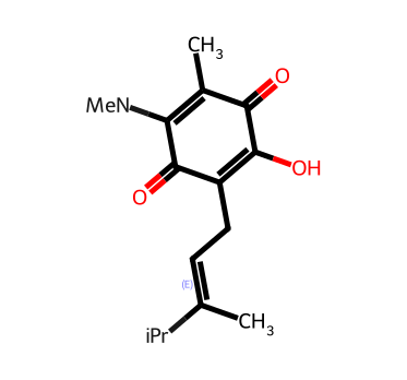 CNC1=C(C)C(=O)C(O)=C(C/C=C(\C)C(C)C)C1=O